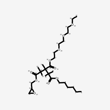 CCCCCCOC(=O)C(C)(C)C(C)(C(=O)OCCOCCOCCOCC)C(C)(C)C(=O)OCC1CO1